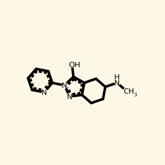 CNC1CCc2nn(-c3ccccn3)c(O)c2C1